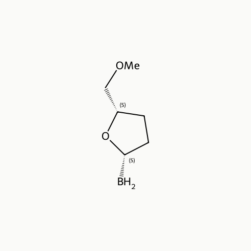 B[C@H]1CC[C@@H](COC)O1